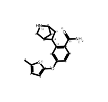 Cc1ccc(Oc2ccc(C(N)=O)c(C3CC4CC3CN4)c2)s1